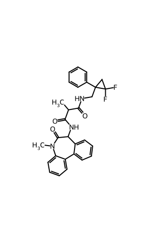 CC(C(=O)NCC1(c2ccccc2)CC1(F)F)C(=O)NC1C(=O)N(C)c2ccccc2-c2ccccc21